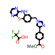 COC(=O)c1ccc(-c2cn(Cc3ccc4c(c3)Nc3nccnc3S4)cn2)cc1.O=C(O)C(F)(F)F